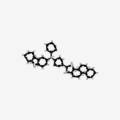 c1ccc(N(c2ccc(-c3nc4ccc5c6ccccc6ccc5c4o3)cc2)c2ccc3oc4ccccc4c3c2)cc1